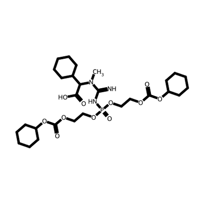 CN(C(=N)NP(=O)(OCCOC(=O)OC1CCCCC1)OCCOC(=O)OC1CCCCC1)C(C(=O)O)C1CCCCC1